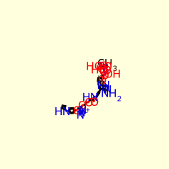 CP(=O)(O)OP(=O)(O)OP(=O)(O)OC[C@@H]1CC[C@H](n2cc(C#CCNC(=O)COCCOC(COc3ccc(NC4CCC4)cc3)N=[N+]=[N-])c3c(N)ncnc32)O1